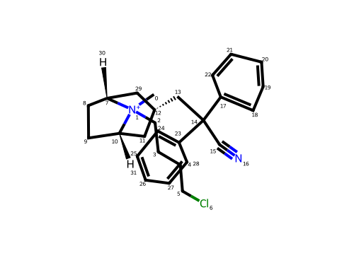 C[N+]1(CCCCCl)[C@@H]2CC[C@H]1C[C@@H](CC(C#N)(c1ccccc1)c1ccccc1)C2